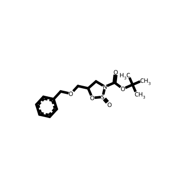 CC(C)(C)OC(=O)N1CC(COCc2ccccc2)OS1=O